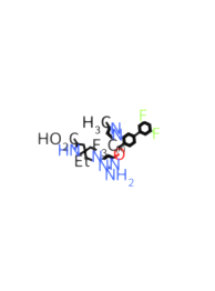 CCC1NC(C(=O)O)CC12CCN(c1cc(O[C@H](c3ccc(-c4cc(F)cc(F)c4)cc3-n3ccc(C)n3)C(F)(F)F)nc(N)n1)CC2